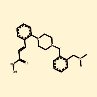 CN(C)Cc1ccccc1CN1CCN(c2ccccc2C=CC(=O)NO)CC1